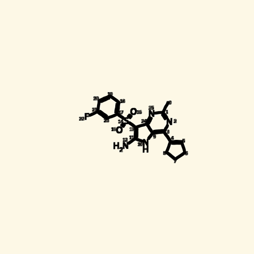 Cc1nc(C2=CCCC2)c2[nH]c(N)c(S(=O)(=O)c3cccc(F)c3)c2n1